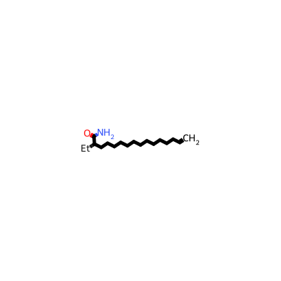 C=CCCCCCCCCCCCCC(CC)C(N)=O